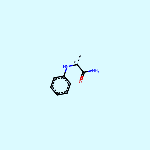 C[C@@H](Nc1ccccc1)C(N)=O